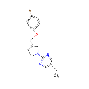 CCc1cnc(N2CC[C@H](COc3ccc(Br)cc3)C2)nc1